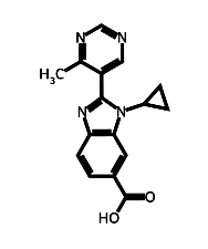 Cc1ncncc1-c1nc2ccc(C(=O)O)cc2n1C1CC1